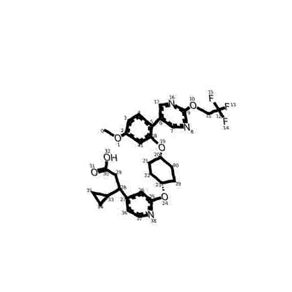 COc1ccc(-c2cnc(OCC(F)(F)F)nc2)c(O[C@H]2CC[C@@H](Oc3cc(C(CC(=O)O)C4CC4)ccn3)CC2)c1